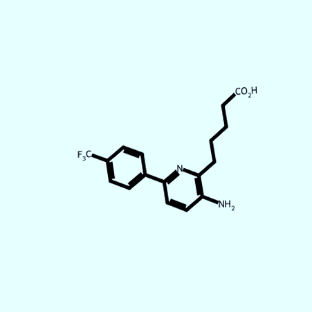 Nc1ccc(-c2ccc(C(F)(F)F)cc2)nc1CCCCC(=O)O